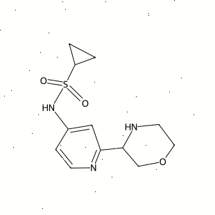 O=S(=O)(Nc1ccnc(C2COCCN2)c1)C1CC1